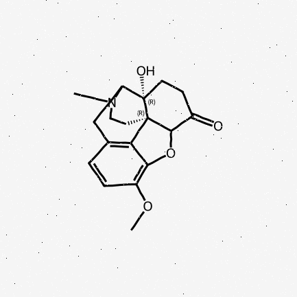 COc1ccc2c3c1OC1C(=O)CC[C@]4(O)C(C2)N(C)CC[C@@]314